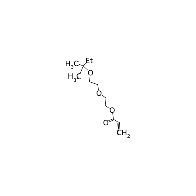 C=CC(=O)OCCOCCOC(C)(C)CC